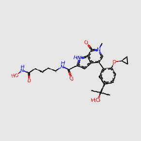 Cn1cc(-c2cc(C(C)(C)O)ccc2OC2CC2)c2cc(C(=O)NCCCCC(=O)NO)[nH]c2c1=O